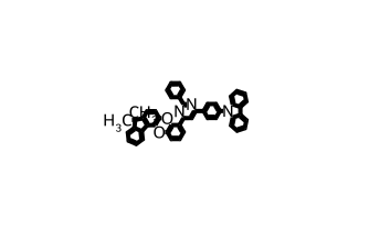 CC1(C)c2ccccc2-c2c1ccc1c2Oc2cccc(-c3cc(-c4ccc(-n5c6ccccc6c6ccccc65)cc4)nc(-c4ccccc4)n3)c2O1